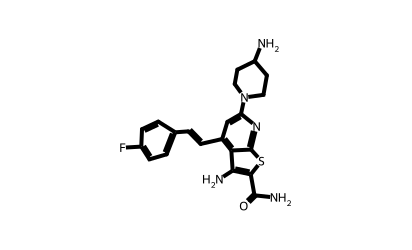 NC(=O)c1sc2nc(N3CCC(N)CC3)cc(C=Cc3ccc(F)cc3)c2c1N